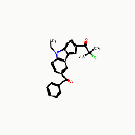 CCn1c2ccc(C(=O)c3ccccc3)cc2c2cc(C(=O)C(C)(C)Cl)ccc21